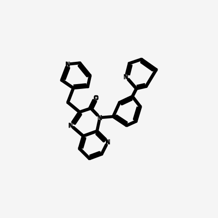 O=c1c(Cc2cccnc2)nc2cccnc2n1-c1cccc(-c2ccccn2)c1